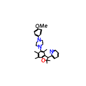 COc1ccc(N2CCN(c3c(C)c(C)c4c(c3C)C(c3ccccn3)C(C)(C)O4)CC2)cc1